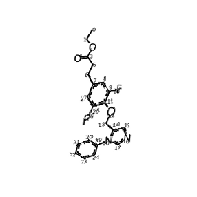 CCOC(=O)CCc1cc(F)c(OCc2cncn2-c2ccccc2)c(F)c1